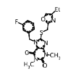 CCc1coc(CSc2nc3c(c(=O)n(C)c(=O)n3C)n2Cc2cccc(F)c2)n1